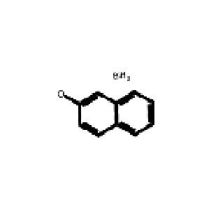 [BiH3].[O]c1ccc2ccccc2c1